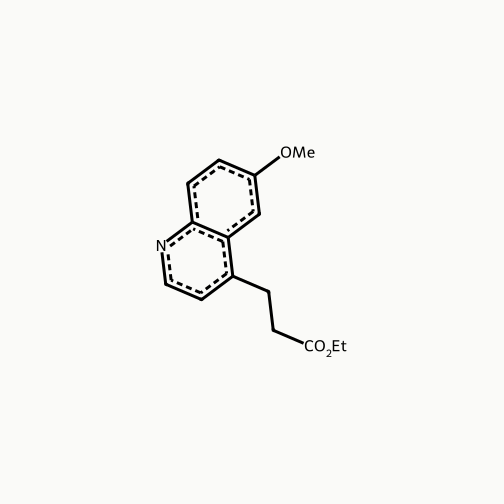 CCOC(=O)CCc1ccnc2ccc(OC)cc12